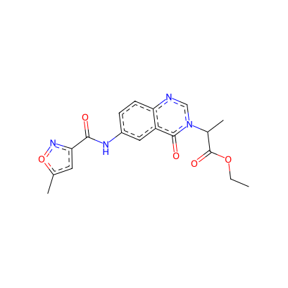 CCOC(=O)C(C)n1cnc2ccc(NC(=O)c3cc(C)on3)cc2c1=O